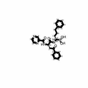 O=C(C[C@@H](NC(=O)c1cnccn1)C(=O)N[C@@H](CCCc1ccccc1)B(O)O)c1ccccc1